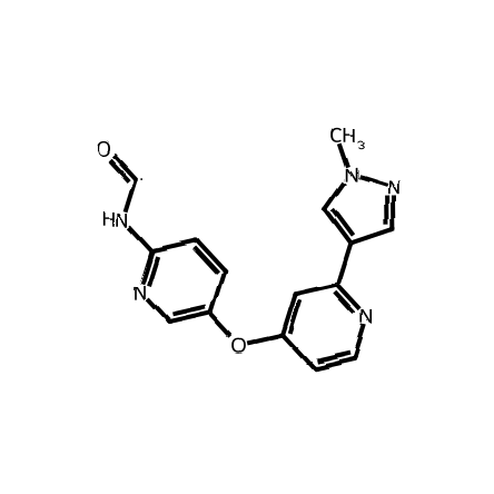 Cn1cc(-c2cc(Oc3ccc(N[C]=O)nc3)ccn2)cn1